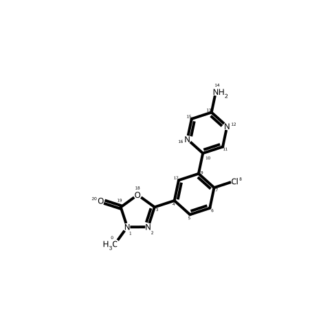 Cn1nc(-c2ccc(Cl)c(-c3cnc(N)cn3)c2)oc1=O